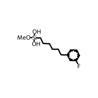 CO[Si](O)(O)CCCCCCc1cccc(F)c1